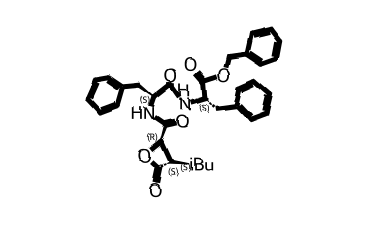 CC[C@H](C)[C@@H]1C(=O)O[C@H]1C(=O)N[C@@H](Cc1ccccc1)C(=O)N[C@@H](Cc1ccccc1)C(=O)OCc1ccccc1